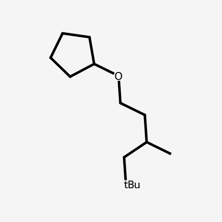 CC(CCOC1CCCC1)CC(C)(C)C